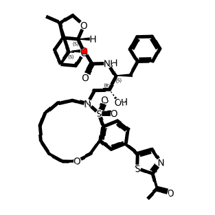 CC(=O)c1ncc(-c2ccc3c(c2)COCCCCCCCN(C[C@@H](O)[C@H](Cc2ccccc2)NC(=O)O[C@H]2C4CO[C@H]5OCC2(C)C5C4)S3(=O)=O)s1